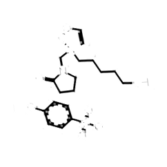 CCCCCC[N+]1(CN2CCCC2=O)C=COS1.Cc1ccc(S(=O)(=O)[O-])cc1